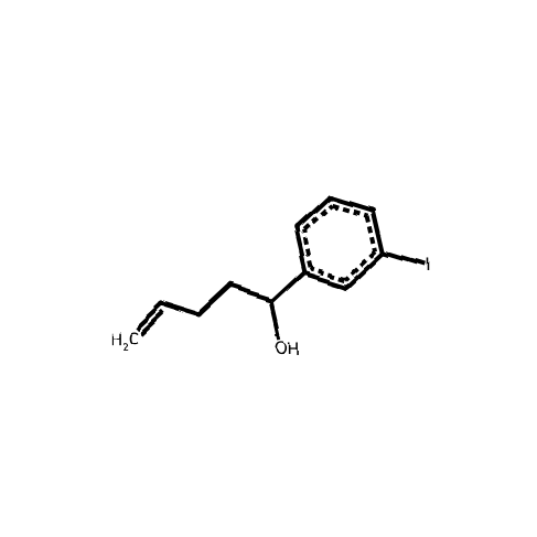 C=CCCC(O)c1cccc(I)c1